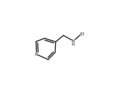 [CH2]CNCc1ccncc1